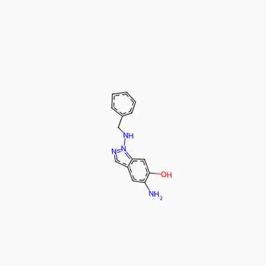 Nc1cc2cnn(NCc3ccccc3)c2cc1O